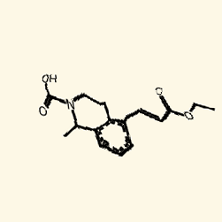 CCOC(=O)/C=C/c1cccc2c1CCN(C(=O)O)C2C